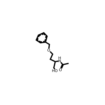 CC(=O)NC(CO)CCOCc1ccccc1